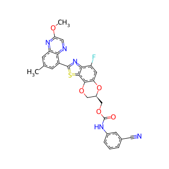 COc1cnc2c(-c3nc4c(F)cc5c(c4s3)OC[C@H](COC(=O)Nc3cccc(C#N)c3)O5)cc(C)cc2n1